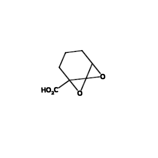 O=C(O)C12CCCC3OC31O2